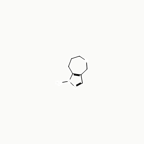 Cn1ncc2c1CCCOC2